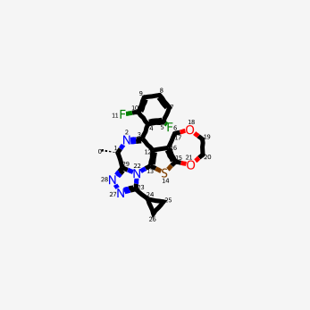 C[C@@H]1N=C(c2c(F)cccc2F)c2c(sc3c2COCCO3)-n2c(C3CC3)nnc21